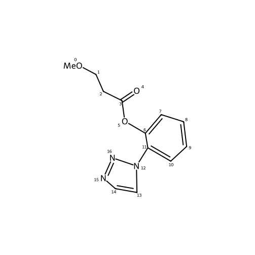 COCCC(=O)Oc1ccccc1-n1ccnn1